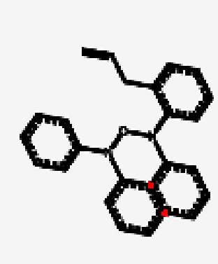 C=CCc1ccccc1N(ON(c1ccccc1)c1ccccc1)c1ccccc1